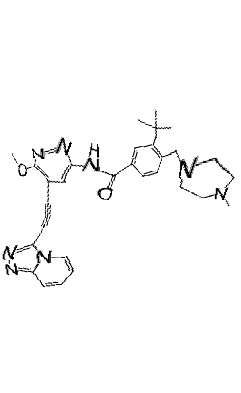 COc1nnc(NC(=O)c2ccc(CN3CCN(C)CC3)c(C(C)(C)C)c2)cc1C#Cc1nnc2ccccn12